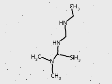 CCNCNC([SiH3])N(C)C